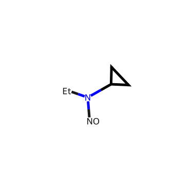 CCN(N=O)C1CC1